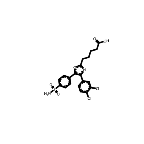 NS(=O)(=O)c1ccc(-c2oc(CCCCC(=O)O)nc2-c2ccc(Cl)c(Cl)c2)cc1